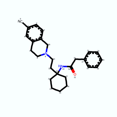 N#Cc1ccc2c(c1)CCN(CCC1(NC(=O)Cc3ccccc3)CCCCC1)C2